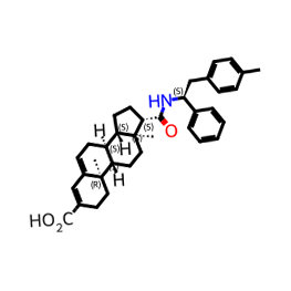 Cc1ccc(C[C@H](NC(=O)[C@H]2CC[C@H]3[C@@H]4CC=C5C=C(C(=O)O)CC[C@]5(C)[C@H]4CC[C@]23C)c2ccccc2)cc1